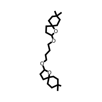 CC1(C)CCC2(CCC(OCCCCOC3CCC4(CCC(C)(C)CC4)O3)O2)CC1